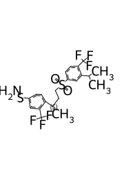 CC(C)c1cc(S(=O)(=O)CC[C@H](C)c2ccc(SN)cc2C(F)(F)F)ccc1C(F)(F)F